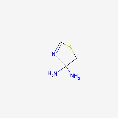 NC1(N)CSC=N1